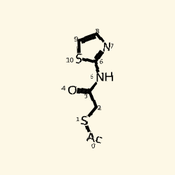 CC(=O)SCC(=O)Nc1nccs1